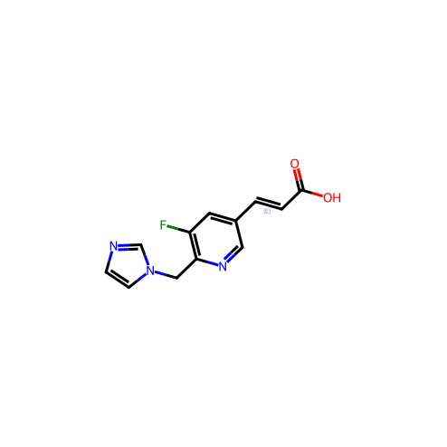 O=C(O)/C=C/c1cnc(Cn2ccnc2)c(F)c1